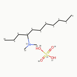 CCCCCCCC(CCC)N(C)C.O=S(=O)(O)O